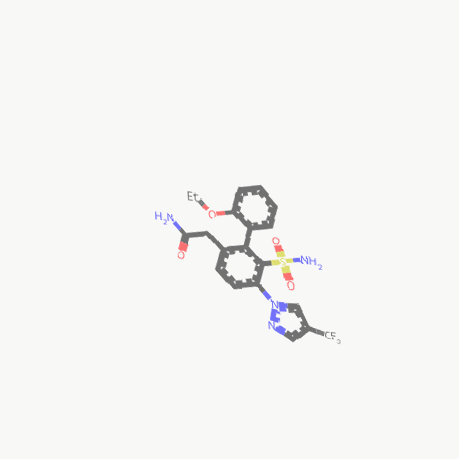 CCOc1ccccc1-c1c(CC(N)=O)ccc(-n2cc(C(F)(F)F)cn2)c1S(N)(=O)=O